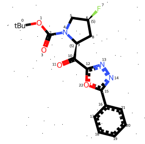 CC(C)(C)OC(=O)N1C[C@@H](F)C[C@H]1C(=O)c1nnc(-c2ccccc2)o1